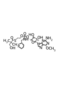 COc1nc(N)nc2c1ncn2[C@@H]1O[C@H](COP(=O)(NCc2ccccc2)OCCSC(=O)C(C)(C)CO)[C@@H](O)[C@@H]1O